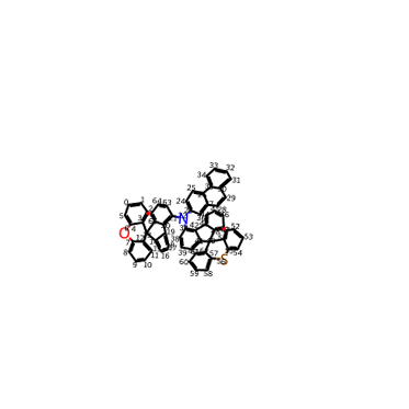 c1ccc2c(c1)Oc1ccccc1C21c2ccccc2-c2c(N(c3ccc4c(ccc5ccccc54)c3)c3cccc4c3-c3ccccc3C43c4ccccc4Sc4ccccc43)cccc21